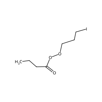 CCCC(=O)OOCCCI